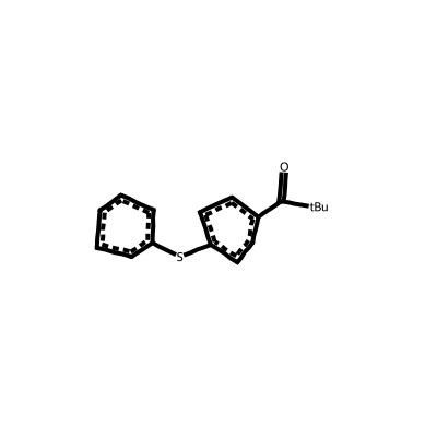 CC(C)(C)C(=O)c1ccc(Sc2ccccc2)cc1